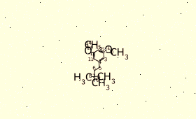 COc1cc(CCC(C)(C)C)cc(OC)c1